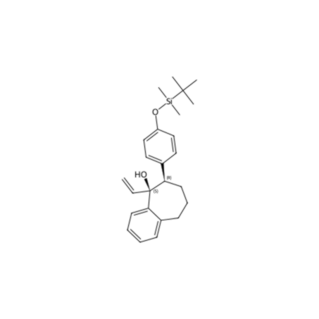 C=C[C@@]1(O)c2ccccc2CCC[C@@H]1c1ccc(O[Si](C)(C)C(C)(C)C)cc1